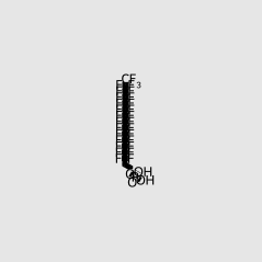 O=P(O)(O)OCCC(F)(F)C(F)(F)C(F)(F)C(F)(F)C(F)(F)C(F)(F)C(F)(F)C(F)(F)C(F)(F)C(F)(F)C(F)(F)C(F)(F)C(F)(F)C(F)(F)F